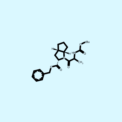 CC(NC(=O)OC(C)(C)C)C(=O)N1[C@H](C(=O)OCc2ccccc2)C[C@@H]2CCC[C@@H]21